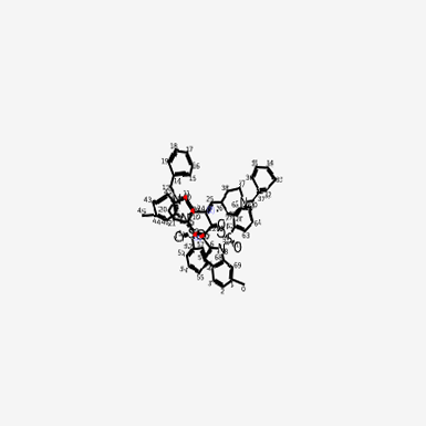 Cc1ccc2cc(/C(=C/C3CCN(Cc4ccccc4)CC3)C(=O)/C(=C\C3CCN(Cc4ccccc4)CC3)c3cc4ccc(C)cc4n3S(=O)(=O)c3ccccc3)n(S(=O)(=O)c3ccccc3)c2c1